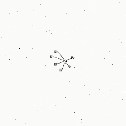 [Br][Sr]([Br])([Br])([Br])([Br])[Br]